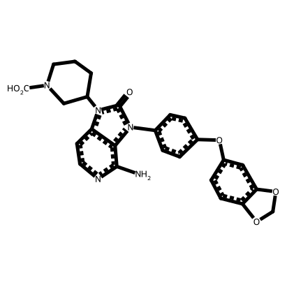 Nc1nccc2c1n(-c1ccc(Oc3ccc4c(c3)OCO4)cc1)c(=O)n2C1CCCN(C(=O)O)C1